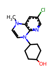 CN1C=CN(C2CCC(O)CC2)c2ncc(Cl)cc21